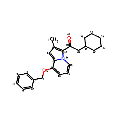 Cc1cc2c(OCc3ccccc3)cccn2c1C(=O)CC1CCCCC1